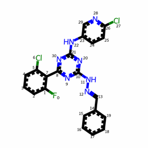 Fc1cccc(Cl)c1-c1nc(NN=Cc2ccccc2)nc(Nc2ccc(Cl)nc2)n1